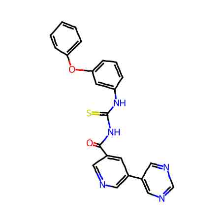 O=C(NC(=S)Nc1cccc(Oc2ccccc2)c1)c1cncc(-c2cncnc2)c1